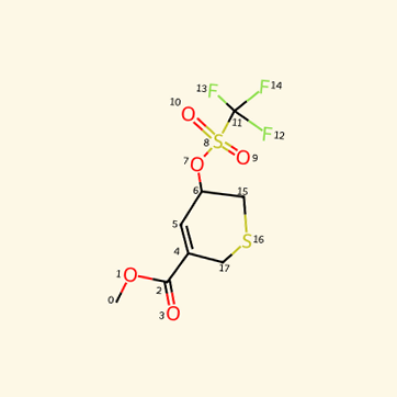 COC(=O)C1=CC(OS(=O)(=O)C(F)(F)F)CSC1